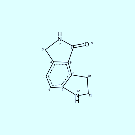 O=C1NCc2ccc3c(c21)CCN3